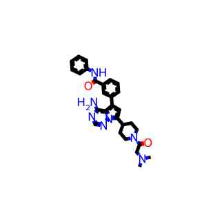 CN(C)CC(=O)N1CCC(c2cc(-c3cccc(C(=O)Nc4ccccc4)c3)c3c(N)ncnn23)CC1